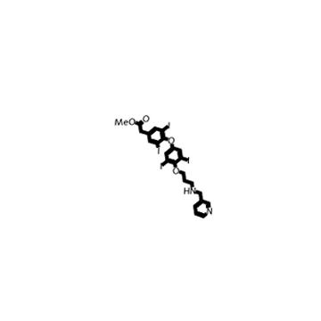 COC(=O)Cc1cc(I)c(Oc2cc(I)c(OCCCNCc3cccnc3)c(I)c2)c(I)c1